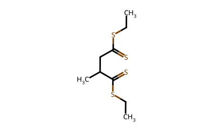 CCSC(=S)CC(C)C(=S)SCC